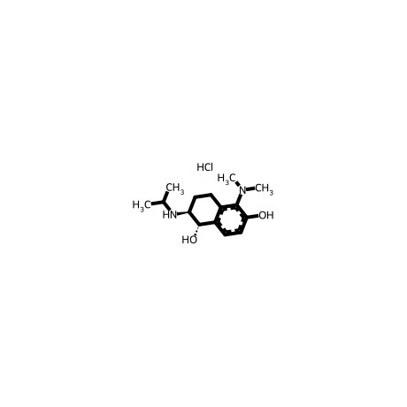 CC(C)N[C@H]1CCc2c(ccc(O)c2N(C)C)[C@@H]1O.Cl